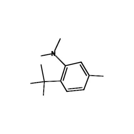 Cc1ccc(C(C)(C)C)c(N(C)C)c1